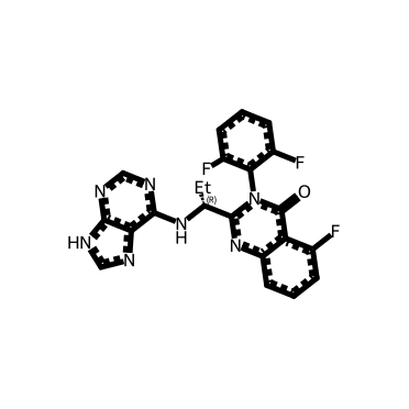 CC[C@@H](Nc1ncnc2[nH]cnc12)c1nc2cccc(F)c2c(=O)n1-c1c(F)cccc1F